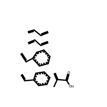 C=C(C)C(=O)O.C=CC=C.C=CC=C.C=Cc1ccccc1.C=Cc1ccccc1